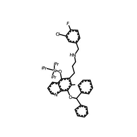 Cc1c(CCCNCc2ccc(F)c(Cl)c2)c(O[Si](C(C)C)(C(C)C)C(C)C)c2cccnc2c1OC(c1ccccc1)c1ccccc1